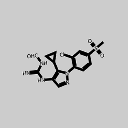 CS(=O)(=O)c1ccc(-n2ncc(NC(=N)NC=O)c2C2CC2)c(Cl)c1